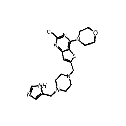 Clc1nc(N2CCOCC2)c2sc(CN3CCN(Cc4cnc[nH]4)CC3)cc2n1